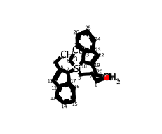 C=CCC[Si](CC)(C1C(CC)=Cc2ccccc21)C1C(CC)=Cc2ccccc21